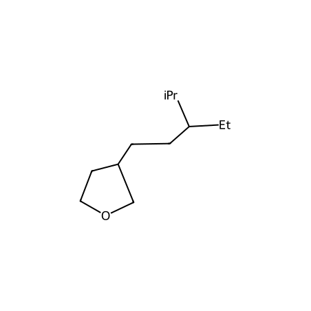 CCC(CCC1CCOC1)C(C)C